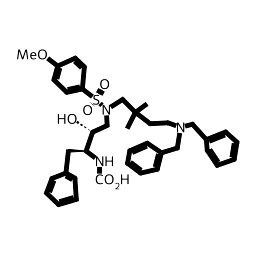 COc1ccc(S(=O)(=O)N(C[C@@H](O)[C@H](Cc2ccccc2)NC(=O)O)CC(C)(C)CCN(Cc2ccccc2)Cc2ccccc2)cc1